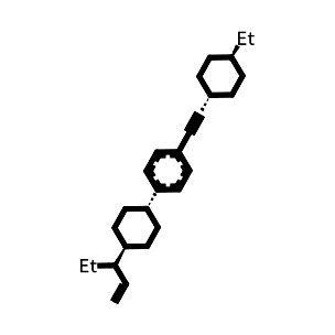 C=CC(CC)[C@H]1CC[C@H](c2ccc(C#C[C@H]3CC[C@H](CC)CC3)cc2)CC1